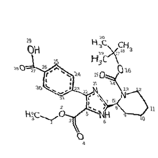 CCOC(=O)c1[nH]c([C@@H]2CCCCN2C(=O)OC(C)(C)C)nc1-c1ccc(C(=O)O)cc1